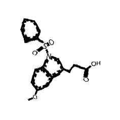 COc1ccc2c(c1)c(CCC(=O)O)cn2S(=O)(=O)c1ccccc1